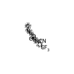 N#Cc1cc(C(F)(F)F)ccc1N1CCN(C(=O)OC2CC3(C2)CN(Cc2ccccc2)C3)CC1